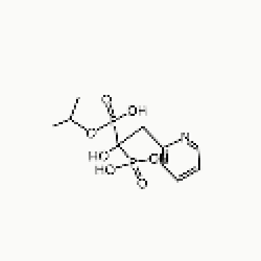 CC(C)OP(=O)(O)C(O)(Cc1ccccn1)P(=O)(O)O